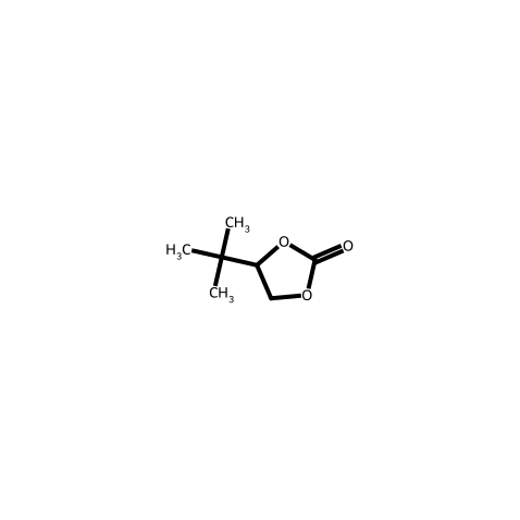 CC(C)(C)C1COC(=O)O1